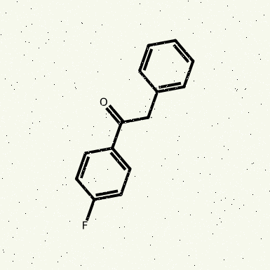 O=C([CH]c1ccccc1)c1ccc(F)cc1